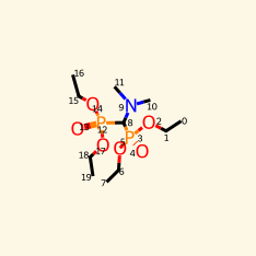 CCOP(=O)(OCC)C(N(C)C)P(=O)(OCC)OCC